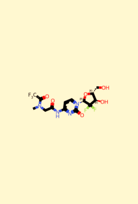 CN(CC(=O)Nc1ccn([C@@H]2O[C@H](CO)[C@@H](O)C2(F)F)c(=O)n1)C(=O)C(F)(F)F